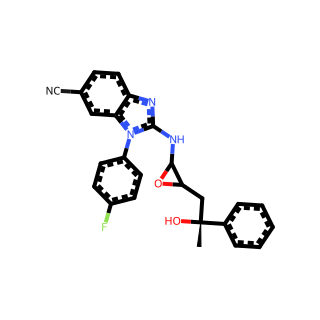 C[C@@](O)(CC1OC1Nc1nc2ccc(C#N)cc2n1-c1ccc(F)cc1)c1ccccc1